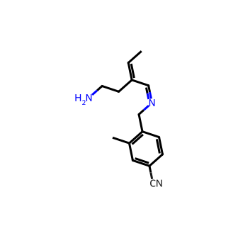 C/C=C(\C=N/Cc1ccc(C#N)cc1C)CCN